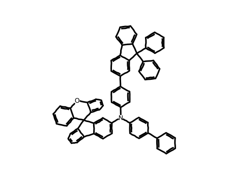 c1ccc(-c2ccc(N(c3ccc(-c4ccc5c(c4)C(c4ccccc4)(c4ccccc4)c4ccccc4-5)cc3)c3ccc4c(c3)C3(c5ccccc5Oc5ccccc53)c3ccccc3-4)cc2)cc1